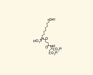 CCCCCCCCCCCCCCCCCCN(C(=O)CCC(=O)NC(CC(=O)O)C(=O)O)S(=O)(=O)O